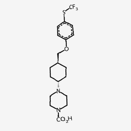 O=C(O)N1CCN([C@H]2CC[C@H](COc3ccc(SC(F)(F)F)cc3)CC2)CC1